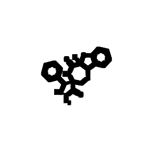 NC(=O)[C@]1(C(O)c2ccccc2)CSC2c3ccccc3O[C@H]2C(=O)N1